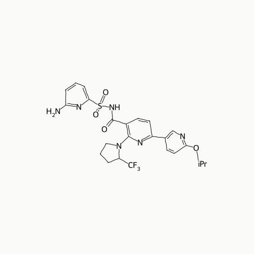 CC(C)Oc1ccc(-c2ccc(C(=O)NS(=O)(=O)c3cccc(N)n3)c(N3CCCC3C(F)(F)F)n2)cn1